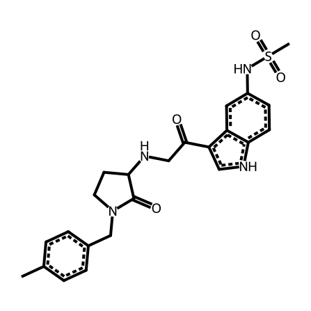 Cc1ccc(CN2CCC(NCC(=O)c3c[nH]c4ccc(NS(C)(=O)=O)cc34)C2=O)cc1